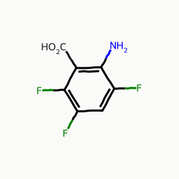 Nc1c(F)cc(F)c(F)c1C(=O)O